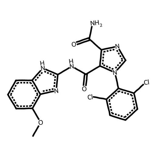 COc1cccc2[nH]c(NC(=O)c3c(C(N)=O)ncn3-c3c(Cl)cccc3Cl)nc12